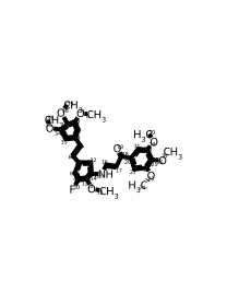 COc1cc(C=Cc2cc(F)c(OC)c(NC=CC(=O)c3cc(OC)c(OC)c(OC)c3)c2)cc(OC)c1OC